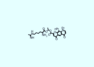 CCCc1c2oc(C(=O)OC(C)OC(=O)[C@@H](N)CCCCNC(C)=N)cc(=O)c2cc2c(=O)ccn(CC)c12